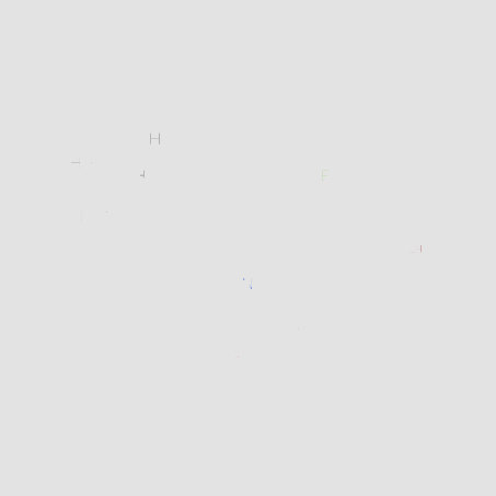 C[Si](C)(C)CCOCn1c(=O)oc2cc(CBr)c(F)cc21